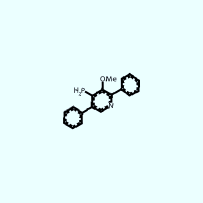 COc1c(-c2ccccc2)ncc(-c2ccccc2)c1P